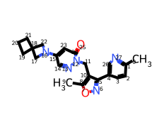 Cc1ccc(-c2noc(C)c2Cn2ncc(N3CC4(CCC4)C3)cc2=O)cn1